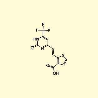 O=C(O)c1ccsc1/C=C/c1cc(C(F)(F)F)[nH]c(=O)n1